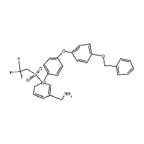 NCC1=C[N+](c2ccc(Oc3ccc(OCc4ccccc4)cc3)cc2)(S(=O)(=O)CC(F)(F)F)CC=C1